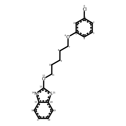 Clc1cccc(OCCCCCOc2nc3ccccc3s2)c1